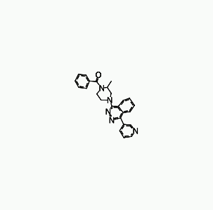 CC1CN(c2nnc(-c3cccnc3)c3ccccc23)CCN1C(=O)c1ccccc1